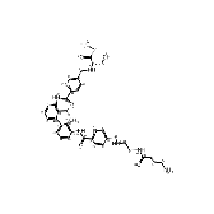 COC(=O)[C@H](CO)NCc1ccc(C(=O)Nc2cccc(-c3cccc(NC(=O)c4ccc(CNCCNC(=O)CCCN)cn4)c3C)c2Cl)nc1